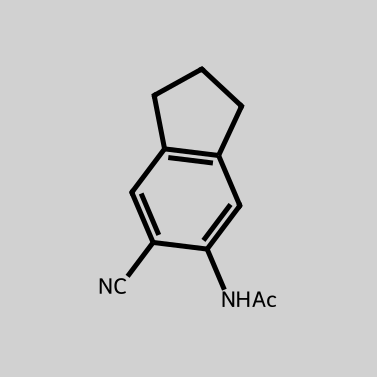 CC(=O)Nc1cc2c(cc1C#N)CCC2